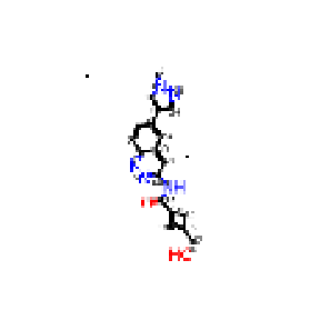 Cn1cc(-c2ccc3nnc(NC(=O)C45CC(CO)(C4)C5)cc3c2)cn1